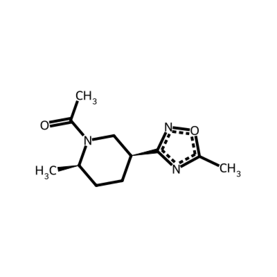 CC(=O)N1C[C@@H](c2noc(C)n2)CC[C@H]1C